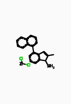 CC1=Cc2c(-c3cccc4ccccc34)cccc2C1[SiH3].[Cl][Zr][Cl]